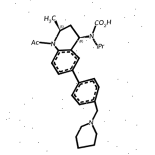 CC(=O)N1c2ccc(-c3ccc(CN4CCCCC4)cc3)cc2[C@H](N(C(=O)O)C(C)C)C[C@@H]1C